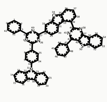 c1ccc(-c2nc(-c3ccc(-n4c5ccccc5c5ccccc54)cc3)nc(-c3ccc4c(c3)oc3cccc(-c5nc(-c6ccccc6)c6sc7ccccc7c6n5)c34)n2)cc1